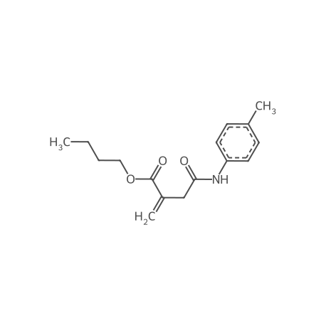 C=C(CC(=O)Nc1ccc(C)cc1)C(=O)OCCCC